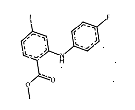 COC(=O)c1ccc(I)cc1Nc1ccc(F)cc1